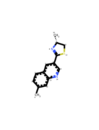 Cc1ccc2cc(C3=N[C@H](C)CS3)cnc2c1